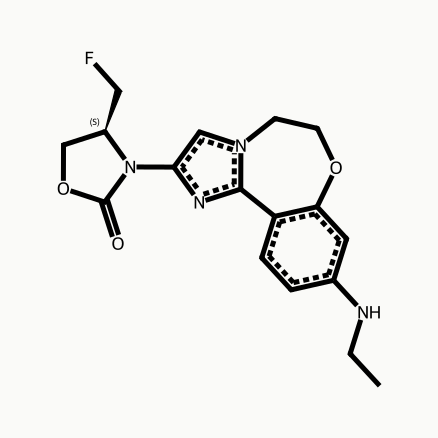 CCNc1ccc2c(c1)OCCn1cc(N3C(=O)OC[C@H]3CF)nc1-2